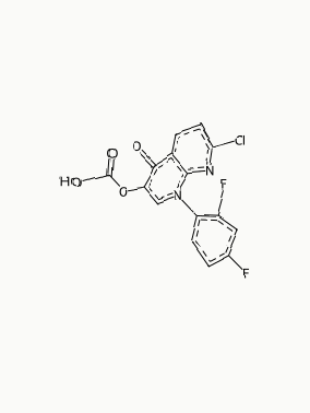 O=C(O)Oc1cn(-c2ccc(F)cc2F)c2nc(Cl)ccc2c1=O